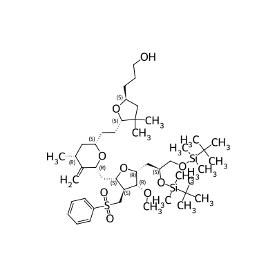 C=C1[C@H](C)C[C@H](CC[C@@H]2O[C@@H](CCCO)CC2(C)C)O[C@@H]1C[C@@H]1O[C@H](C[C@@H](CO[Si](C)(C)C(C)(C)C)O[Si](C)(C)C(C)(C)C)[C@H](OC)[C@H]1CS(=O)(=O)c1ccccc1